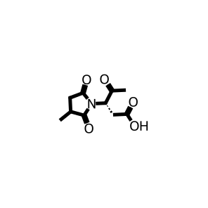 CC(=O)[C@H](CC(=O)O)N1C(=O)CC(C)C1=O